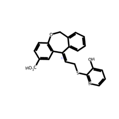 O=C(O)c1ccc2c(c1)/C(=C/CSc1ncccc1O)c1ccccc1CO2